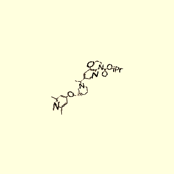 Cc1cc(OC[C@H]2CCCN(C(C)c3cnc4c(c3)OCCN4C(=O)OC(C)C)C2)cc(C)n1